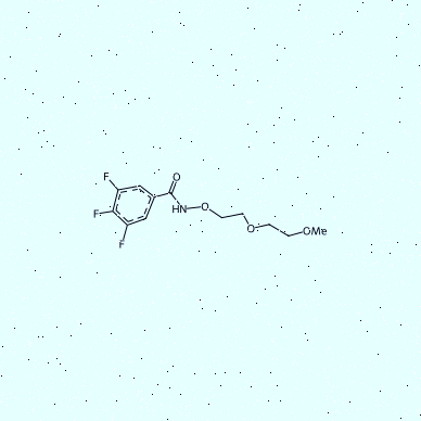 COCCOCCONC(=O)c1cc(F)c(F)c(F)c1